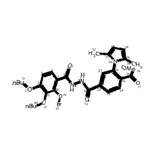 CCCCOc1ccc(C(=O)NNC(=O)c2ccc(C(=O)OC)c(-n3c(C)ccc3C)c2)c(OBr)c1OCCCC